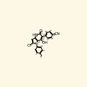 Cc1ccc(-n2c(Cl)cc3[nH]c(=O)c(-c4ccc(C#N)cc4)c(O)c32)cc1